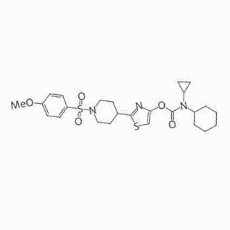 COc1ccc(S(=O)(=O)N2CCC(c3nc(OC(=O)N(C4CCCCC4)C4CC4)cs3)CC2)cc1